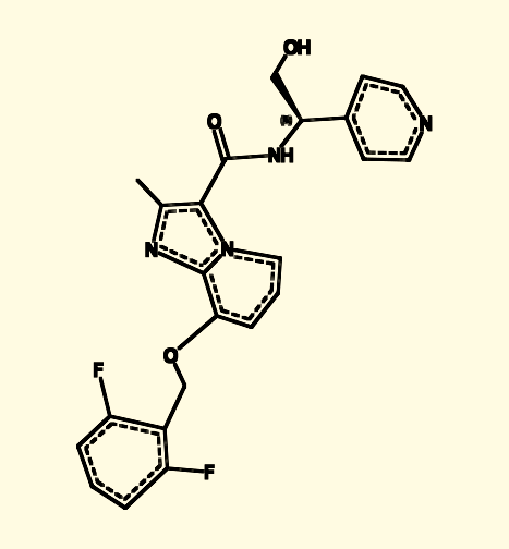 Cc1nc2c(OCc3c(F)cccc3F)cccn2c1C(=O)N[C@@H](CO)c1ccncc1